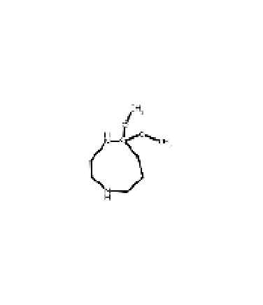 CO[Si]1(OC)CCCNCCN1